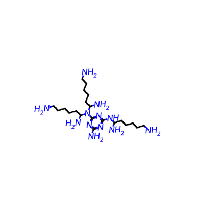 NCCCCCC(N)Nc1nc(N)nc(N(C(N)CCCCCN)C(N)CCCCCN)n1